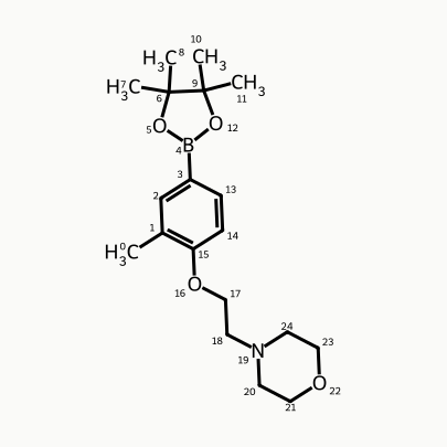 Cc1cc(B2OC(C)(C)C(C)(C)O2)ccc1OCCN1CCOCC1